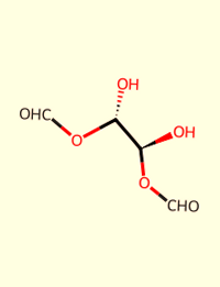 O=CO[C@H](O)[C@@H](O)OC=O